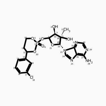 C[C@@]1(O)[C@H](O)C(OP2(=O)OCCC(c3cccc(Cl)c3)O2)O[C@H]1n1cnc2c(N)ncnc21